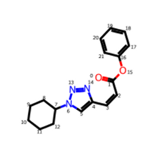 O=C(/C=C\c1cn(C2CCCCC2)nn1)Oc1ccccc1